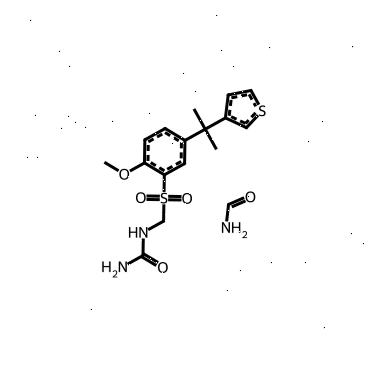 COc1ccc(C(C)(C)c2ccsc2)cc1S(=O)(=O)CNC(N)=O.NC=O